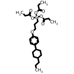 CCCC1CCC(c2ccc(OCCC[Si](OC(=O)CC)(OC(=O)CC)OC(=O)CC)cc2)CC1